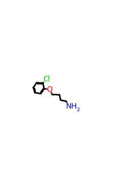 NCCCCOc1ccccc1Cl